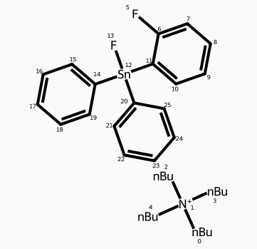 CCCC[N+](CCCC)(CCCC)CCCC.Fc1cccc[c]1[Sn]([F])([c]1ccccc1)[c]1ccccc1